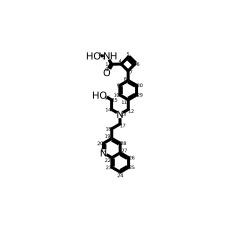 O=C(NO)C1C#CC1c1ccc(CN(CCO)CCc2cnc3ccccc3c2)cc1